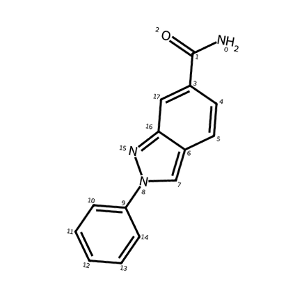 NC(=O)c1ccc2cn(-c3ccccc3)nc2c1